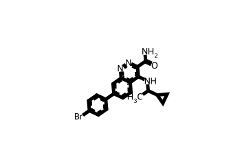 CC(Nc1c(C(N)=O)nnc2cc(-c3ccc(Br)cc3)ccc12)C1CC1